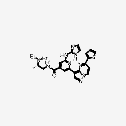 CCN(CC)[C@@H](C)CNC(=O)c1cc(Nc2ncc[nH]2)nc(-c2cnn3ccc(-c4cccs4)nc23)c1